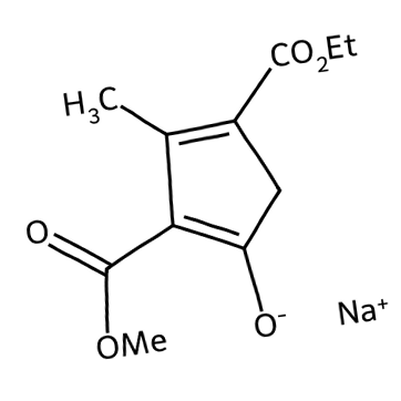 CCOC(=O)C1=C(C)C(C(=O)OC)=C([O-])C1.[Na+]